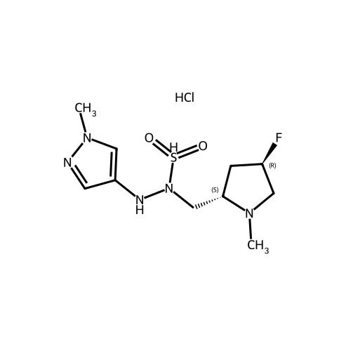 CN1C[C@H](F)C[C@H]1CN(Nc1cnn(C)c1)[SH](=O)=O.Cl